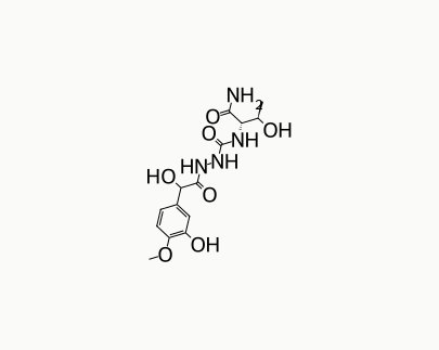 COc1ccc(C(O)C(=O)NNC(=O)N[C@H](C(N)=O)[C@@H](C)O)cc1O